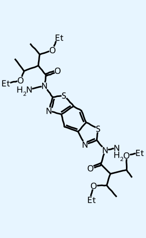 CCOC(C)C(C(=O)N(N)c1nc2cc3nc(N(N)C(=O)C(C(C)OCC)C(C)OCC)sc3cc2s1)C(C)OCC